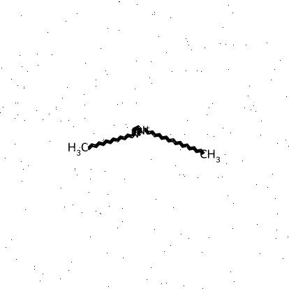 CCCCCCCCCCCCCCCCCC[n+]1ccn(CCCCCCCCCCCCCC)c1